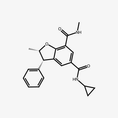 CNC(=O)c1cc(C(=O)NC2CC2)cc2c1O[C@@H](C)[C@H]2c1ccccc1